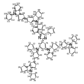 c1ccc(-c2nc(-c3cc(-n4c5ccccc5c5cc(-c6ccc7c(c6)c6ccccc6n7-c6ccccc6)ccc54)cc(-n4c5ccccc5c5cc(-c6ccc7c(c6)c6ccccc6n7-c6ccccc6)ccc54)c3)nc3c2-c2ccc(-n4c5ccccc5c5cc(-c6ccc7c(c6)c6ccccc6n7-c6ccccc6)ccc54)c4cccc-3c24)cc1